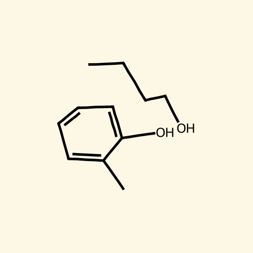 CCCCO.Cc1ccccc1O